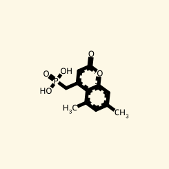 Cc1cc(C)c2c(CP(=O)(O)O)cc(=O)oc2c1